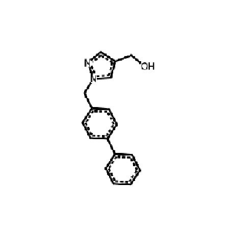 OCc1cnn(Cc2ccc(-c3ccccc3)cc2)c1